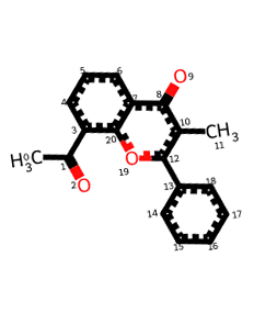 CC(=O)c1cccc2c(=O)c(C)c(-c3ccccc3)oc12